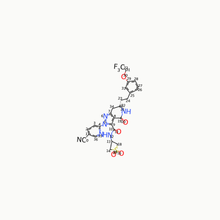 N#Cc1ccc(-n2nc3c(c2C(=O)NC2CS(=O)(=O)C2)C(=O)N[C@@H](CCc2cccc(OCC(F)(F)F)c2)C3)nc1